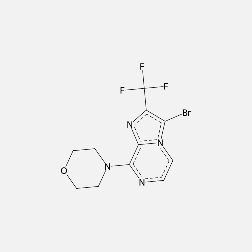 FC(F)(F)c1nc2c(N3CCOCC3)nccn2c1Br